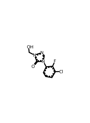 O=c1n(-c2cccc(Cl)c2F)cnn1CO